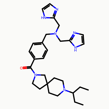 CCC(CC)N1CCC2(CCN(C(=O)c3ccc(CN(Cc4ncc[nH]4)Cc4ncc[nH]4)cc3)C2)CC1